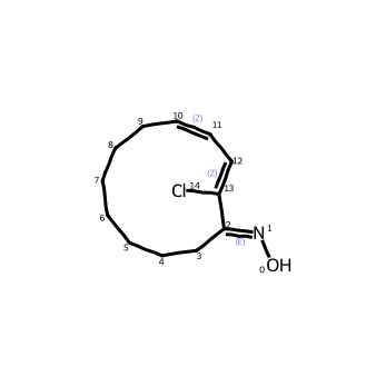 O\N=C1CCCCCCC\C=C/C=C/1Cl